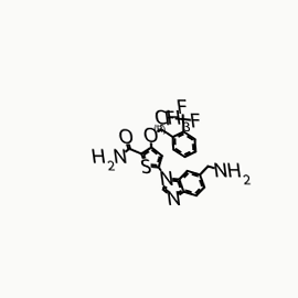 C[C@@H](Oc1cc(-n2cnc3ccc(CN)cc32)sc1C(N)=O)c1ccccc1C(F)(F)F